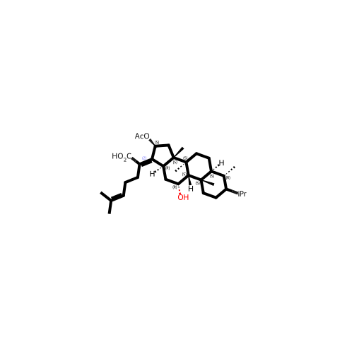 CC(=O)O[C@H]1C[C@@]2(C)[C@@H](C[C@@H](O)[C@H]3[C@@]4(C)CCC(C(C)C)[C@@H](C)[C@@H]4CC[C@@]32C)/C1=C(\CCC=C(C)C)C(=O)O